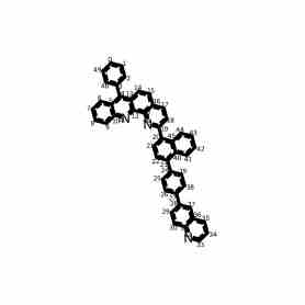 c1ccc(-c2c3ccccc3nc3c2ccc2ccc(-c4ccc(-c5ccc(-c6ccc7ncccc7c6)cc5)c5ccccc45)nc23)cc1